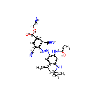 CC(=O)Nc1cc2c(cc1/N=N/c1c(C#N)cc(C(=O)OCC#N)cc1C#N)C(C)CC(C)(C)N2